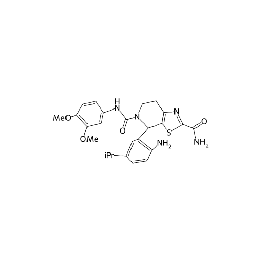 COc1ccc(NC(=O)N2CCc3nc(C(N)=O)sc3C2c2cc(C(C)C)ccc2N)cc1OC